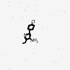 CCc1cnc(-c2ccc(Cl)cc2)cc1N